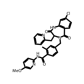 COc1ccc(NC(=O)c2ccc(CN3C(=O)c4ccc(Cl)cc4NC(=O)C3Cc3ccccn3)cc2C)nc1